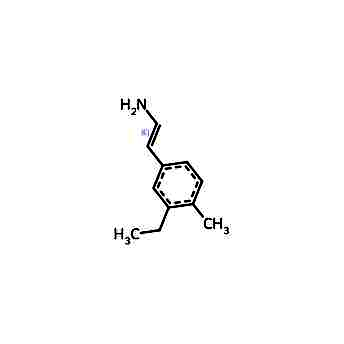 CCc1cc(/C=C/N)ccc1C